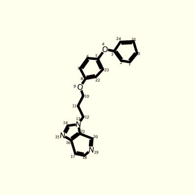 c1ccc(Oc2ccc(OCCCn3cnc4ccncc43)cc2)cc1